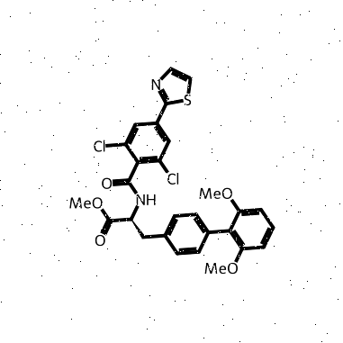 COC(=O)[C@H](Cc1ccc(-c2c(OC)cccc2OC)cc1)NC(=O)c1c(Cl)cc(-c2nccs2)cc1Cl